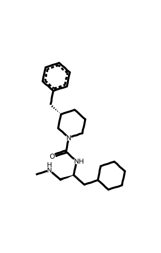 CNC[C@H](CC1CCCCC1)NC(=O)N1CCC[C@@H](Cc2ccccc2)C1